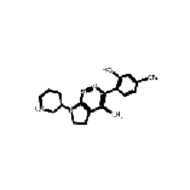 Cc1c(-c2ccc(C#N)cc2O)nnc2c1CCN2C1CCCNC1